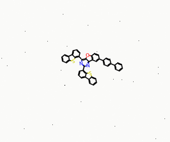 c1ccc(-c2ccc(-c3ccc4oc5c(-c6cccc7c6sc6ccccc67)nc(-c6cccc7c6sc6ccccc67)nc5c4c3)cc2)cc1